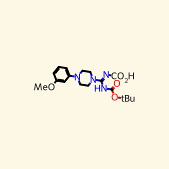 COc1cccc(N2CCN(/C(=N/C(=O)O)NC(=O)OC(C)(C)C)CC2)c1